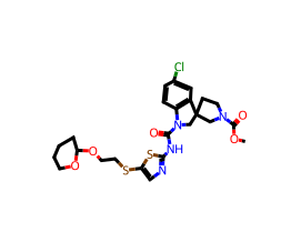 COC(=O)N1CCC2(C1)CN(C(=O)Nc1ncc(SCCOC3CCCCO3)s1)c1ccc(Cl)cc12